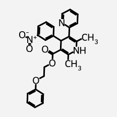 CC1=C(C(=O)OCCOc2ccccc2)C(c2cccc([N+](=O)[O-])c2)C(c2ccccn2)=C(C)N1